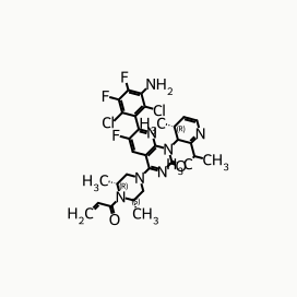 C=CC(=O)N1[C@H](C)CN(c2nc(=O)n(C3C(C(C)C)=NC=C[C@H]3C)c3nc(-c4c(Cl)c(N)c(F)c(F)c4Cl)c(F)cc23)C[C@@H]1C